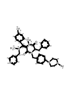 CC(=O)N1CCN(c2ccc(CN(C(=O)C=Cc3ccc(C(F)(F)F)cc3)C(Cc3ccccc3)C(=O)N(C)CCN(C)Cc3ccncc3)cc2)CC1